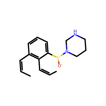 C/C=C\c1cccc([S+]([O-])N2CCCNC2)c1/C=C\C